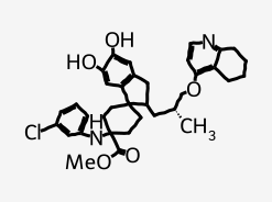 COC(=O)C1(Nc2cccc(Cl)c2)CCC2(CC1)c1cc(O)c(O)cc1CC2C[C@@H](C)COc1ccnc2c1CCCC2